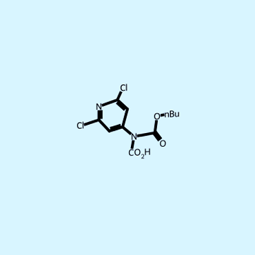 CCCCOC(=O)N(C(=O)O)c1cc(Cl)nc(Cl)c1